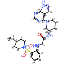 CC(C)(C)C1CCN(S(=O)(=O)c2ccccc2NCC(=O)N[C@@H]2CCCN(c3ncnc4[nH]ncc34)C2)CC1